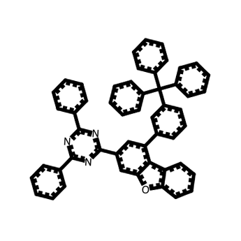 c1ccc(-c2nc(-c3ccccc3)nc(-c3cc(-c4cccc(C(c5ccccc5)(c5ccccc5)c5ccccc5)c4)c4c(c3)oc3ccccc34)n2)cc1